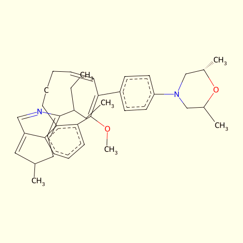 CCC(CC)C1=C\CC(C)/C=C(c2cccc3c2CCC/C=C\C(c2ccc(N4CC(C)O[C@@H](C)C4)cc2)=C/3OC)/C=N\1